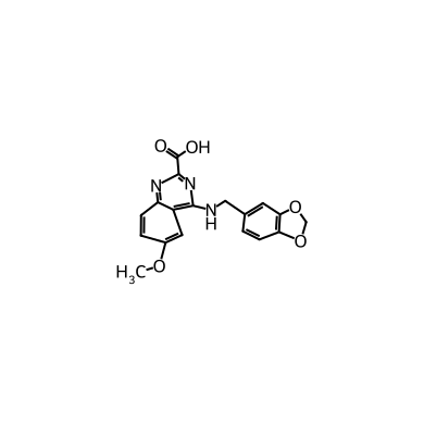 COc1ccc2nc(C(=O)O)nc(NCc3ccc4c(c3)OCO4)c2c1